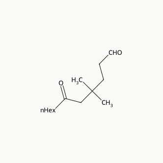 CCCCCCC(=O)CC(C)(C)CCC=O